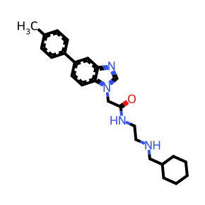 Cc1ccc(-c2ccc3c(c2)ncn3CC(=O)NCCNCC2CCCCC2)cc1